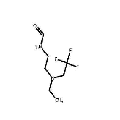 CCN(CCNC=O)CC(F)(F)F